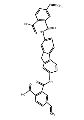 C=Cc1ccc(C(=O)O)c(C(=O)Nc2ccc3c(c2)Cc2cc(NC(=O)c4cc(C=C)ccc4C(=O)O)ccc2-3)c1